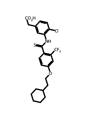 O=C(O)Cc1ccc(Cl)c(NC(=S)c2ccc(OCCC3CCCCC3)cc2C(F)(F)F)c1